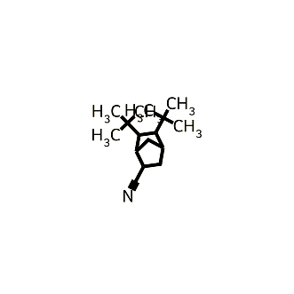 CC(C)(C)C1C2CC(C#N)C(C2)C1C(C)(C)C